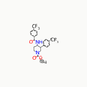 CC(C)(C)OC(=O)N1CCC(NC(=O)c2ccc(C(F)(F)F)cc2)C(c2ccc(C(F)(F)F)cc2)C1